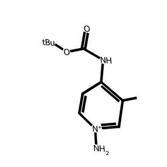 Cc1c[n+](N)ccc1NC(=O)OC(C)(C)C